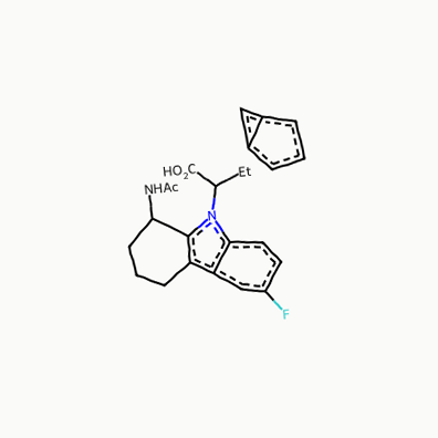 CCC(C(=O)O)n1c2c(c3cc(F)ccc31)CCCC2NC(C)=O.c1cc2cc-2c1